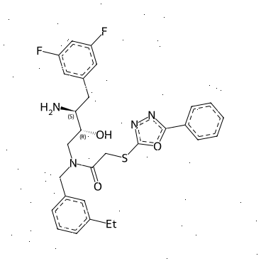 CCc1cccc(CN(C[C@@H](O)[C@@H](N)Cc2cc(F)cc(F)c2)C(=O)CSc2nnc(-c3ccccc3)o2)c1